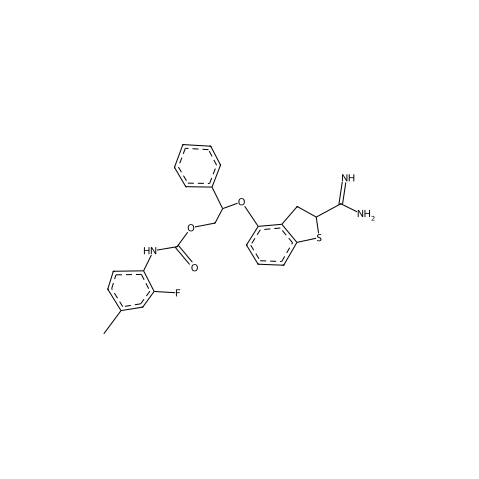 Cc1ccc(NC(=O)OCC(Oc2cccc3c2CC(C(=N)N)S3)c2ccccc2)c(F)c1